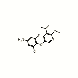 COc1ncc(Oc2c(F)cc(N)cc2Cl)cc1C(C)C